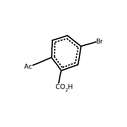 CC(=O)c1ccc(Br)cc1C(=O)O